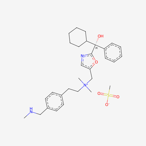 CNCc1ccc(CC[N+](C)(C)Cc2cnc([C@](O)(c3ccccc3)C3CCCCC3)o2)cc1.CS(=O)(=O)[O-]